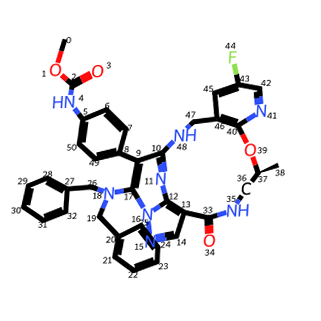 COC(=O)Nc1ccc(-c2c3nc4c(cnn4c2N(Cc2ccccc2)Cc2ccccc2)C(=O)NC[C@H](C)Oc2ncc(F)cc2CN3)cc1